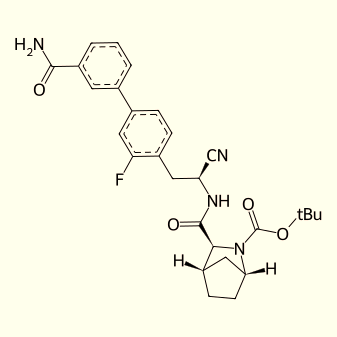 CC(C)(C)OC(=O)N1[C@@H]2CC[C@@H](C2)[C@H]1C(=O)N[C@H](C#N)Cc1ccc(-c2cccc(C(N)=O)c2)cc1F